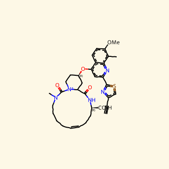 C#Cc1csc(-c2cc(O[C@@H]3CC[N+]4C(=O)N(C)CCCCC=CCC[C@H](C(=O)O)NC(=O)C4C3)c3ccc(OC)c(C)c3n2)n1